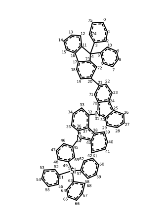 c1ccc(C2(c3ccccc3)c3ccccc3-c3ccc(-c4ccc5c6ccccc6n(-c6cccc7c6c6ccccc6n7-c6cccc([Si](c7ccccc7)(c7ccccc7)c7ccccc7)c6)c5c4)cc32)cc1